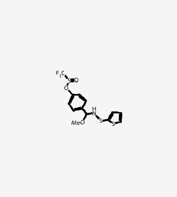 COC(NSc1cccs1)c1ccc(OS(=O)C(F)(F)F)cc1